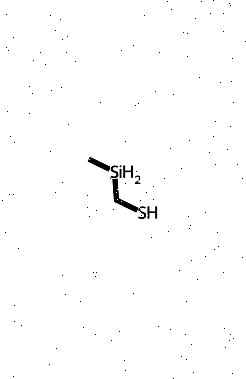 C[SiH2]CS